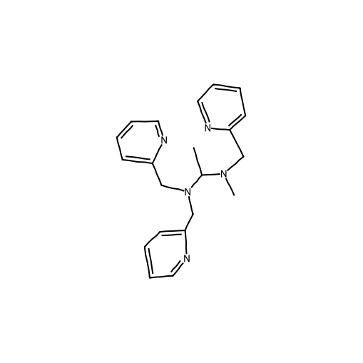 CC(N(C)Cc1ccccn1)N(Cc1ccccn1)Cc1ccccn1